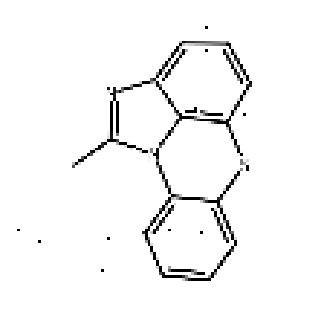 Cc1nc2cccc3c2n1-c1ccccc1S3